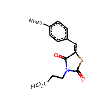 COc1ccc(C=C2SC(=O)N(CCC(=O)O)C2=O)cc1